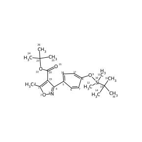 Cc1onc(-c2ccc(O[Si](C)(C)C(C)(C)C)cc2)c1C(=O)OC(C)(C)C